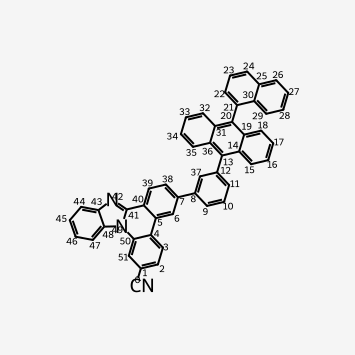 N#Cc1ccc2c3cc(-c4cccc(-c5c6ccccc6c(-c6cccc7ccccc67)c6ccccc56)c4)ccc3c3nc4ccccc4n3c2c1